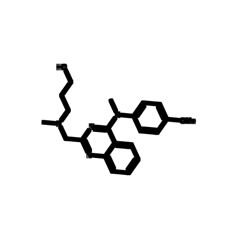 COc1ccc(N(C)c2nc(CN(C)CCCO)nc3ccccc23)cc1